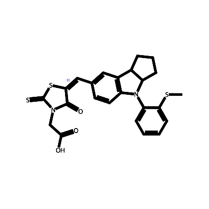 CSc1ccccc1N1c2ccc(/C=C3/SC(=S)N(CC(=O)O)C3=O)cc2C2CCCC21